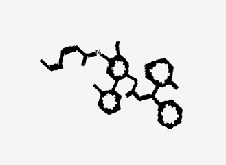 C=C(/C=C(/c1ccccc1)c1ccccc1C)Cc1cc(C)c(/N=C(C)/C=C\C=C/C)cc1-c1ccccc1C